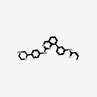 C/C=C\C(=O)Nc1cccc(-c2cccc3cnc(Nc4ccc(C5CNCCO5)cc4)nc23)c1